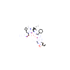 CC(C)(C)[C@@H](CN1Cc2sccc2S1(=O)=O)NC(=O)N[C@H](C(=O)N1C[C@H]2[C@@H]([C@H]1C(=O)NC(CC1CCC1)C(=O)C(N)=O)C2(C)C)C1CCCCC1